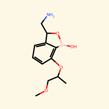 COCC(C)Oc1cccc2c1B(O)OC2CN